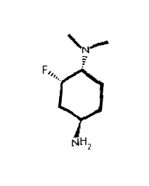 CN(C)[C@@H]1CC[C@@H](N)C[C@@H]1F